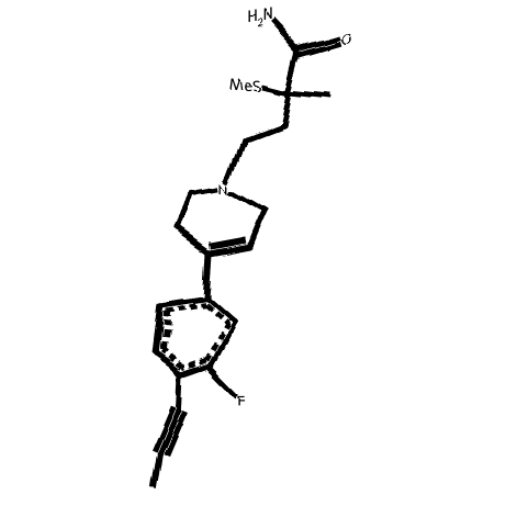 CC#Cc1ccc(C2=CCN(CCC(C)(SC)C(N)=O)CC2)cc1F